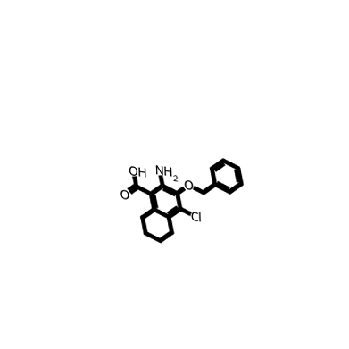 Nc1c(OCc2ccccc2)c(Cl)c2c(c1C(=O)O)CCCC2